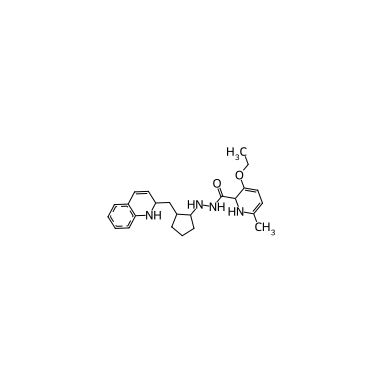 CCOC1=CC=C(C)NC1C(=O)NNC1CCCC1CC1C=Cc2ccccc2N1